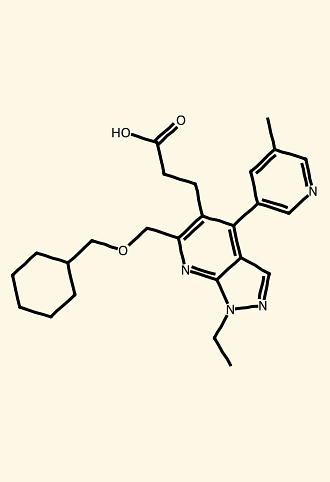 CCn1ncc2c(-c3cncc(C)c3)c(CCC(=O)O)c(COCC3CCCCC3)nc21